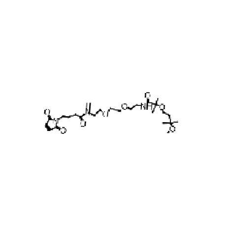 COC(C)(C)CCOC(C)(C)C(=O)NCCOCCOCCNC(=O)CCCN1C(=O)C#CC1=O